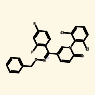 O=c1ccc(/C(=N/OCc2ccccc2)c2ccc(F)cc2F)cn1-c1c(Cl)cccc1Cl